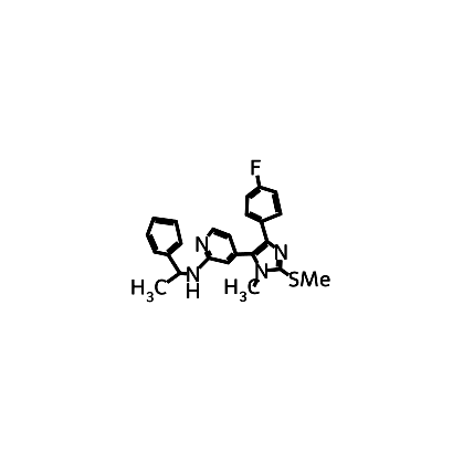 CSc1nc(-c2ccc(F)cc2)c(-c2ccnc(NC(C)c3ccccc3)c2)n1C